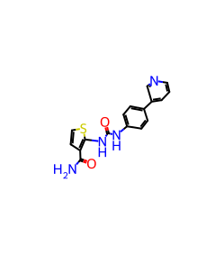 NC(=O)c1ccsc1NC(=O)Nc1ccc(-c2cccnc2)cc1